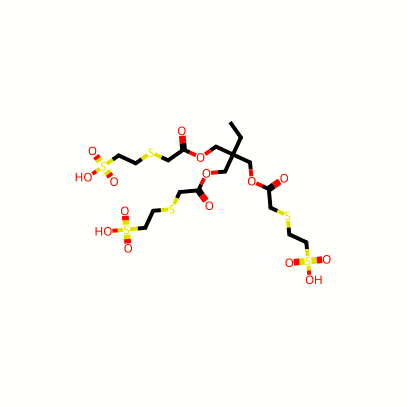 CCC(COC(=O)CSCCS(=O)(=O)O)(COC(=O)CSCCS(=O)(=O)O)COC(=O)CSCCS(=O)(=O)O